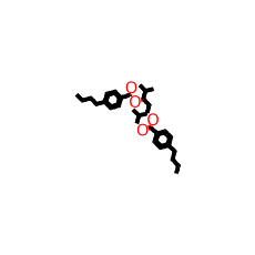 CCCCc1ccc(C(=O)OC(CC(OC(=O)c2ccc(CCCC)cc2)C(C)C)C(C)C)cc1